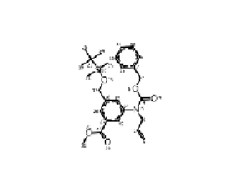 C=CCN(C(=O)OCc1ccccc1)c1cc(CO[Si](C)(C)C(C)(C)C)cc(C(=O)OC)c1